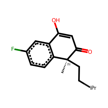 CC(C)CC[C@]1(C)C(=O)C=C(O)c2cc(F)ccc21